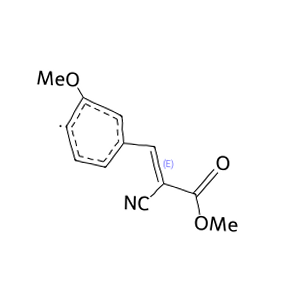 COC(=O)/C(C#N)=C/c1cc[c]c(OC)c1